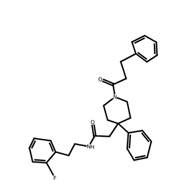 O=C(CC1(c2ccccc2)CCN(C(=O)CCc2ccccc2)CC1)NCCc1ccccc1F